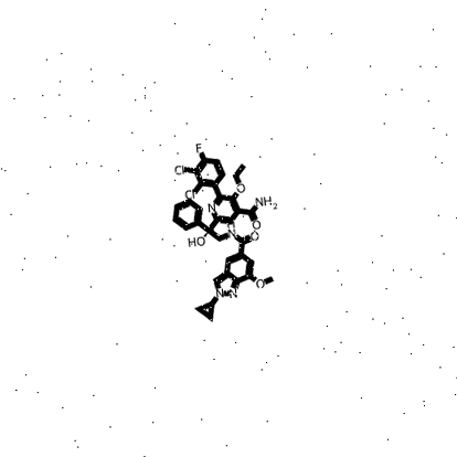 CCOc1c(C(N)=O)cc([C@@](O)(CNC(=O)c2cc(OC)c3nn(C4CC4)cc3c2)c2ccccc2)nc1-c1ccc(F)c(Cl)c1Cl